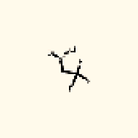 [O-][S+](Cl)CC(F)(F)F